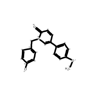 COc1ccc(-c2ccc(=O)n(Cc3ccc(Cl)cc3)c2)cc1